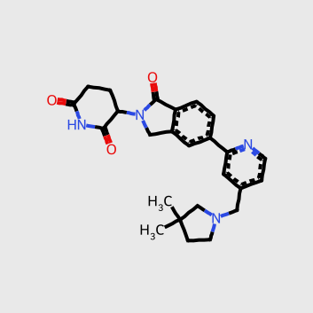 CC1(C)CCN(Cc2ccnc(-c3ccc4c(c3)CN(C3CCC(=O)NC3=O)C4=O)c2)C1